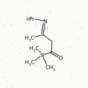 CCC/N=C(\C)CC(=O)[Si](C)(C)C